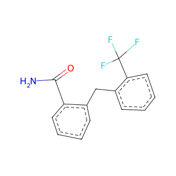 NC(=O)c1ccccc1Cc1ccccc1C(F)(F)F